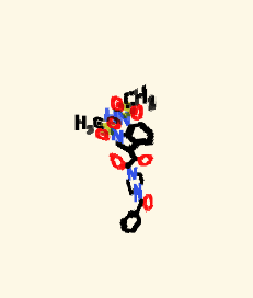 CS(=O)(=O)Nc1cccc2c(C(=O)C(=O)N3CCN(C(=O)c4ccccc4)CC3)cn(S(C)(=O)=O)c12